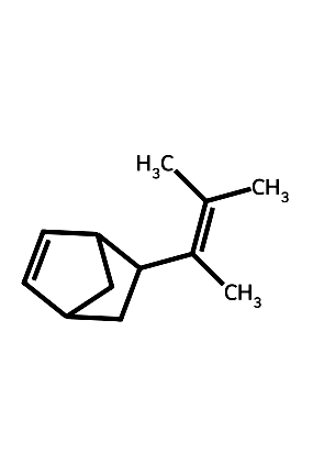 CC(C)=C(C)C1CC2C=CC1C2